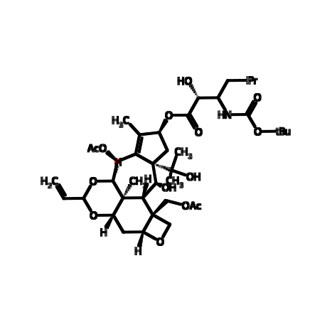 C=CC1O[C@H]2C[C@H]3OC[C@@]3(COC(C)=O)[C@H]3[C@H](O)[C@]4(C(C)(C)O)C[C@H](OC(=O)[C@H](O)C(CC(C)C)NC(=O)OC(C)(C)C)C(C)=C4[C@H](OC(C)=O)[C@H](O1)[C@]23C